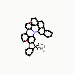 CC1(C)c2ccccc2-c2ccc(N(c3ccccc3-c3ccccc3)c3cc4ccccc4c4ccc5ccccc5c34)cc21